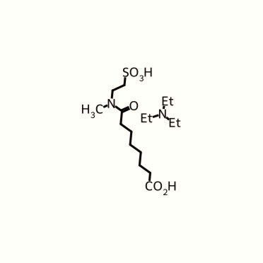 CCN(CC)CC.CN(CCS(=O)(=O)O)C(=O)CCCCCCC(=O)O